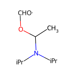 CC(C)N(C(C)C)C(C)O[C]=O